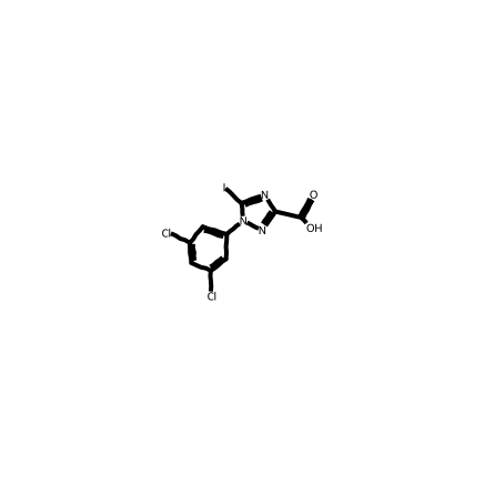 O=C(O)c1nc(I)n(-c2cc(Cl)cc(Cl)c2)n1